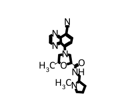 C[C@@H]1CN(c2ccc(C#N)c3nccnc23)C[C@H](C(=O)NCC2CCCN2C)O1